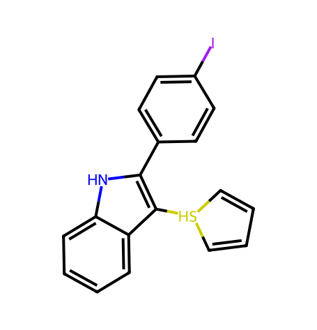 Ic1ccc(-c2[nH]c3ccccc3c2[SH]2C=CC=C2)cc1